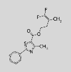 CC(CCOC(=O)c1sc(-c2ccccc2)nc1C)=C(F)F